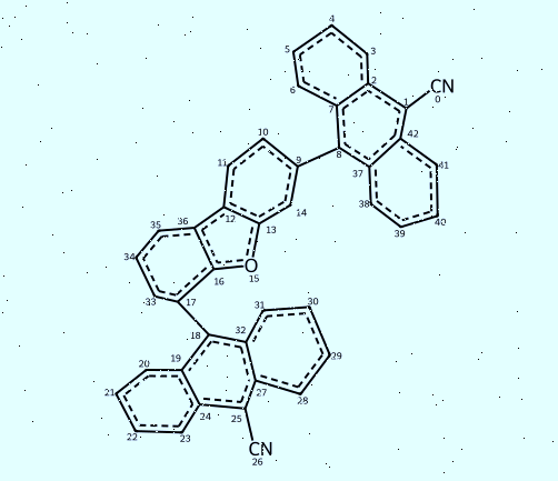 N#Cc1c2ccccc2c(-c2ccc3c(c2)oc2c(-c4c5ccccc5c(C#N)c5ccccc45)cccc23)c2ccccc12